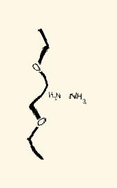 CCOCCOCC.N.N